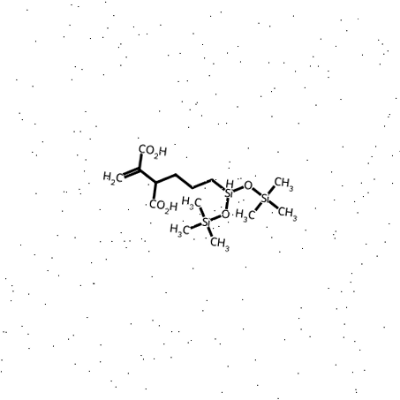 C=C(C(=O)O)C(CCC[SiH](O[Si](C)(C)C)O[Si](C)(C)C)C(=O)O